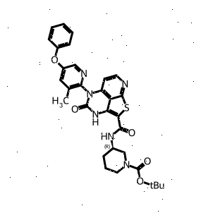 Cc1cc(Oc2ccccc2)cnc1N1C(=O)Nc2c(C(=O)N[C@@H]3CCCN(C(=O)OC(C)(C)C)C3)sc3nccc1c23